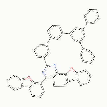 c1ccc(-c2cc(-c3ccccc3)cc(-c3cccc(-c4cccc(-c5nc(-c6cccc7c6oc6ccccc67)c6ccc7c8ccccc8oc7c6n5)c4)c3)c2)cc1